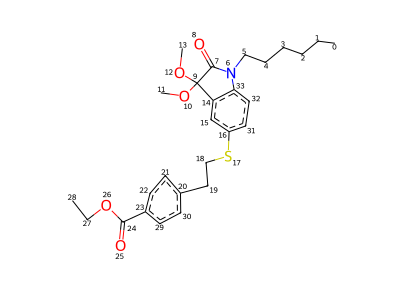 CCCCCCN1C(=O)C(OC)(OC)c2cc(SCCc3ccc(C(=O)OCC)cc3)ccc21